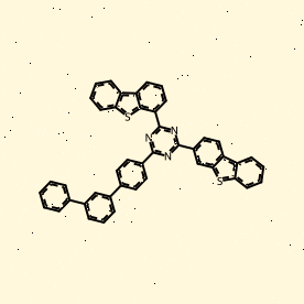 c1ccc(-c2cccc(-c3ccc(-c4nc(-c5ccc6c(c5)sc5ccccc56)nc(-c5cccc6c5sc5ccccc56)n4)cc3)c2)cc1